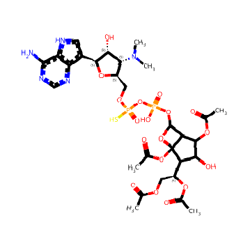 CC(=O)OC[C@H](OC(C)=O)C1C(O)C(OC(C)=O)C2C(OP(=O)(O)OP(=O)(S)OC[C@H]3O[C@@H](c4c[nH]c5c(N)ncnc45)[C@H](O)[C@@H]3N(C)C)OC21OC(C)=O